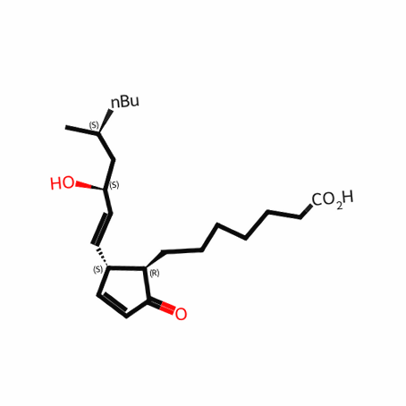 CCCC[C@H](C)C[C@H](O)C=C[C@H]1C=CC(=O)[C@@H]1CCCCCCC(=O)O